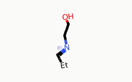 CC/C=N/CCO